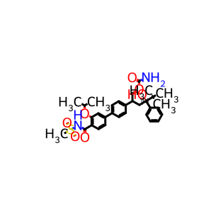 CC(C)Oc1cc(-c2ccc(C(COC(N)=O)C[C@](O)(c3ccccc3)C(C)(C)C)cc2)ccc1C(=O)NS(C)(=O)=O